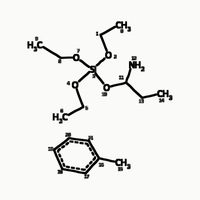 CCO[Si](OCC)(OCC)OC(N)CC.Cc1ccccc1